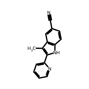 Cc1c(-c2ccccn2)[nH]c2ccc(C#N)cc12